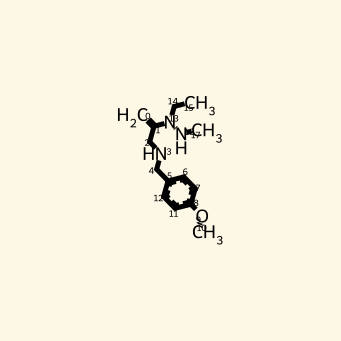 C=C(CNCc1ccc(OC)cc1)N(CC)NC